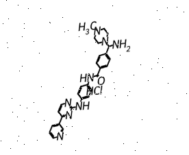 CN1CCN(C(N)c2ccc(C(=O)Nc3ccc(Nc4nccc(-c5cccnc5)n4)cc3)cc2)CC1.Cl